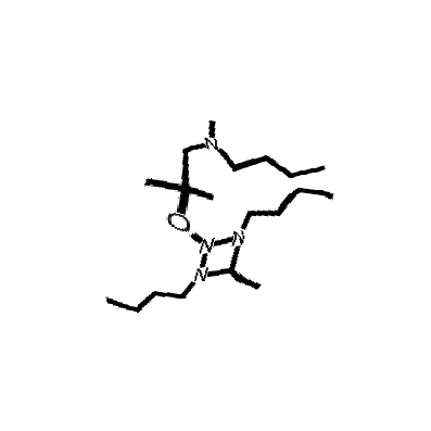 CCCCN(C)CC(C)(C)ON1N(CCCC)C(C)N1CCCC